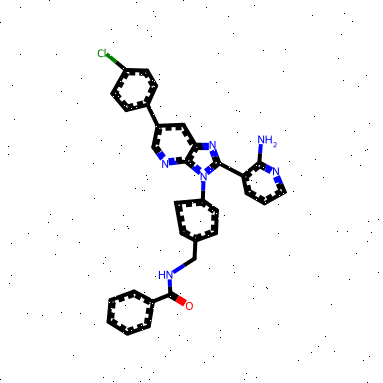 Nc1ncccc1-c1nc2cc(-c3ccc(Cl)cc3)cnc2n1-c1ccc(CNC(=O)c2ccccc2)cc1